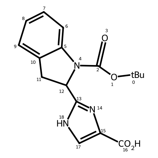 CC(C)(C)OC(=O)N1c2ccccc2CC1c1nc(C(=O)O)c[nH]1